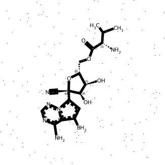 Bc1cc([C@]2(C#N)O[C@H](COC(=O)[C@@H](N)C(C)C)[C@@H](O)[C@H]2O)n2ncnc(N)c12